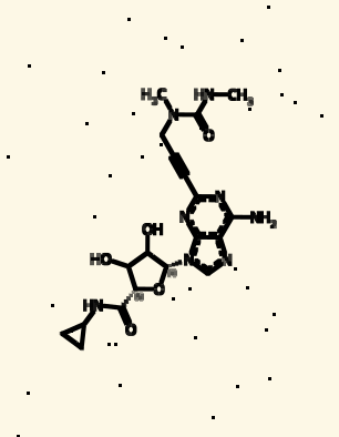 CNC(=O)N(C)CC#Cc1nc(N)c2ncn([C@@H]3O[C@H](C(=O)NC4CC4)C(O)C3O)c2n1